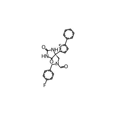 O=CN(Cc1ccc(F)cc1)C[C@]1(c2ccc(-c3ccccc3)s2)NC(=O)NC1=O